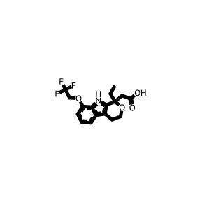 CCC1(CC(=O)O)OCCc2c1[nH]c1c(OCC(F)(F)F)cccc21